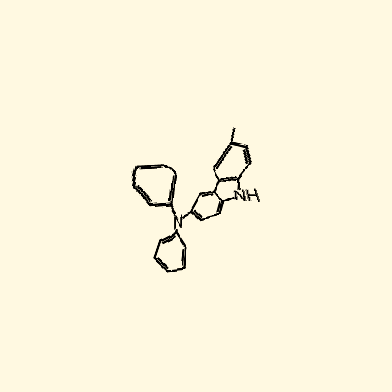 Cc1ccc2[nH]c3ccc(N(c4ccccc4)c4ccccc4)cc3c2c1